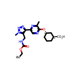 CCC(C)COC(=O)NCc1c(-c2cnc(O[C@H]3CCC[C@H](C(=O)O)C3)c(C)n2)nnn1C